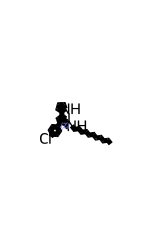 CCCCCCCCCCCN/C=C1\N=C(c2ccc[nH]2)C=C1c1ccc(Cl)cc1